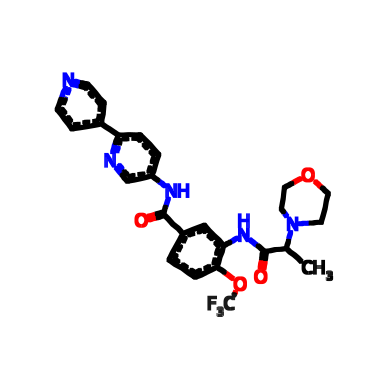 CC(C(=O)Nc1cc(C(=O)Nc2ccc(-c3ccncc3)nc2)ccc1OC(F)(F)F)N1CCOCC1